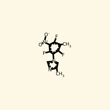 Cc1cn(-c2c(F)c(C)c(F)c([N+](=O)[O-])c2F)cn1